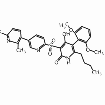 CCCCc1[nH]c(=O)c(S(=O)(=O)c2ccc(-c3ccc(F)nc3C)cn2)c(O)c1-c1c(OC)cccc1OC